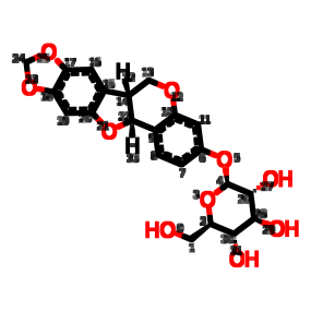 OC[C@H]1O[C@@H](Oc2ccc3c(c2)OC[C@H]2c4cc5c(cc4O[C@@H]32)OCO5)[C@H](O)[C@@H](O)[C@@H]1O